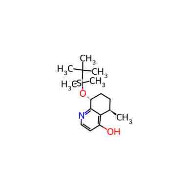 C[C@@H]1CC[C@@H](O[Si](C)(C)C(C)(C)C)c2nccc(O)c21